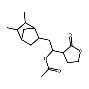 CC(=O)OC(CC1CC2CC1C(C)C2C)C1CCOC1=O